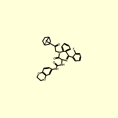 O=C(Nc1ccc2c(c1)OCCO2)NC1N=C(c2ccccc2F)c2ccccc2N(CC(=O)N2CC3CCC(CC3)C2)C1=O